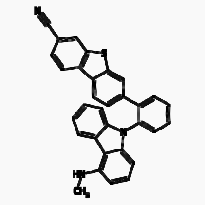 CNc1cccc2c1c1ccccc1n2-c1ccccc1-c1ccc2c(c1)sc1cc(C#N)ccc12